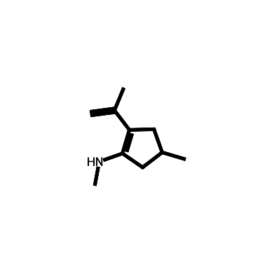 C=C(C)C1=C(NC)CC(C)C1